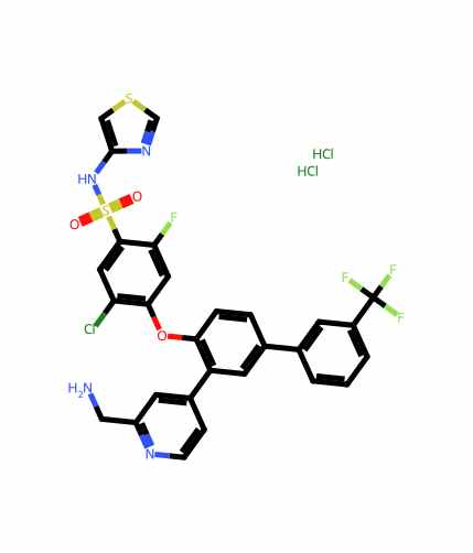 Cl.Cl.NCc1cc(-c2cc(-c3cccc(C(F)(F)F)c3)ccc2Oc2cc(F)c(S(=O)(=O)Nc3cscn3)cc2Cl)ccn1